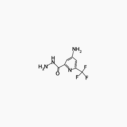 NNC(=O)c1cc(N)cc(C(F)(F)F)n1